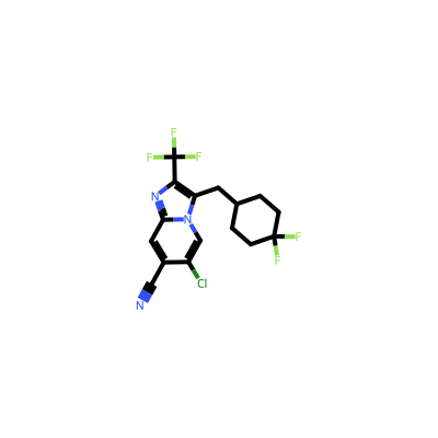 N#Cc1cc2nc(C(F)(F)F)c(CC3CCC(F)(F)CC3)n2cc1Cl